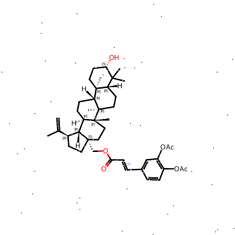 C=C(C)[C@@H]1CC[C@]2(COC(=O)/C=C/c3ccc(OC(C)=O)c(OC(C)=O)c3)CC[C@]3(C)[C@H](CC[C@@H]4[C@@]5(C)CC[C@H](O)C(C)(C)[C@@H]5CC[C@]43C)[C@@H]12